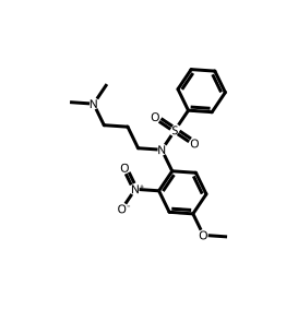 COc1ccc(N(CCCN(C)C)S(=O)(=O)c2ccccc2)c([N+](=O)[O-])c1